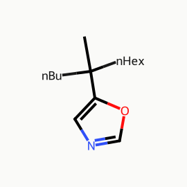 CCCCCCC(C)(CCCC)c1cnco1